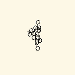 CO[C@@H]1[C@H](OC(=O)c2ccccc2)[C@@H](OC(C)=O)O[C@H]1n1ccc(=O)n(COCc2ccccc2)c1=O